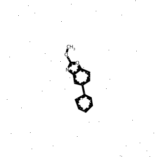 COc1nc2cc(-c3ccccc3)ccc2o1